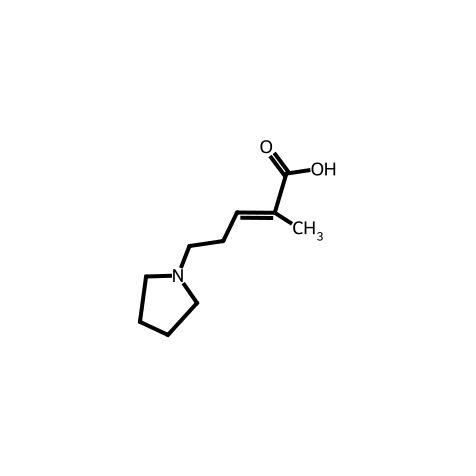 C/C(=C\CCN1CCCC1)C(=O)O